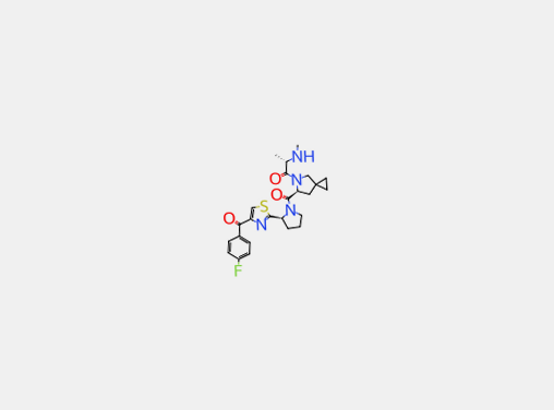 CN[C@@H](C)C(=O)N1CC2(CC2)C[C@H]1C(=O)N1CCC[C@H]1c1nc(C(=O)c2ccc(F)cc2)cs1